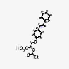 CCC(=O)OC(COc1ccc(/C=C/c2ccccc2)cc1)C(=O)O